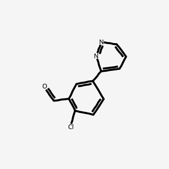 O=Cc1cc(-c2cccnn2)ccc1Cl